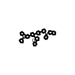 c1ccc(N(c2cccc(-c3ccc(-c4ccc(-c5ccc6c(c5)c5ccccc5n6-c5ccccc5)cc4-c4cccc5c4oc4ccccc45)cc3)c2)c2ccc3ccccc3c2)cc1